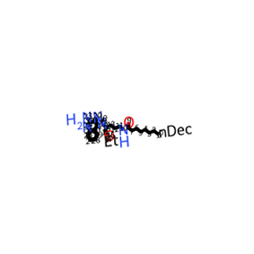 CCCCCCCCCCCCCCCCCC(=O)NCCCC(COCC)n1cnc2c(N)nc3ccccc3c21